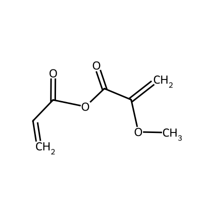 C=CC(=O)OC(=O)C(=C)OC